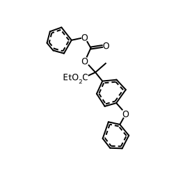 CCOC(=O)C(C)(OC(=O)Oc1ccccc1)c1ccc(Oc2ccccc2)cc1